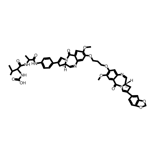 COc1cc2c(cc1OCCCOc1cc3c(cc1OC)C(=O)N1C=C(c4ccc5c(c4)OCO5)C[C@H]1C=N3)N=C[C@@H]1CC(c3ccc(NC(=O)C(C)NC(=O)C(NC(=O)O)C(C)C)cc3)=CN1C2=O